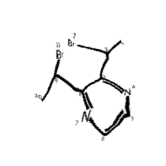 CC(Br)c1nccnc1C(C)Br